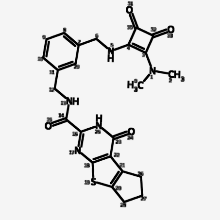 CN(C)c1c(NCc2cccc(CNC(=O)c3nc4sc5c(c4c(=O)[nH]3)CCC5)c2)c(=O)c1=O